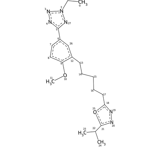 CCn1nnc(-c2ccc(OC)c(CCCCCc3nnc(C(C)C)o3)c2)n1